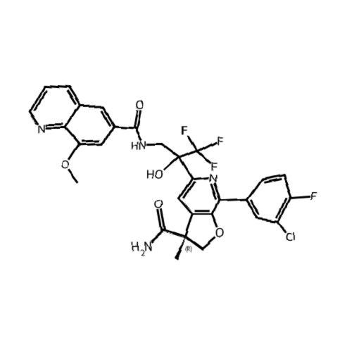 COc1cc(C(=O)NCC(O)(c2cc3c(c(-c4ccc(F)c(Cl)c4)n2)OC[C@]3(C)C(N)=O)C(F)(F)F)cc2cccnc12